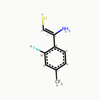 N/C(=C\S)c1ccc(C(F)(F)F)cc1F